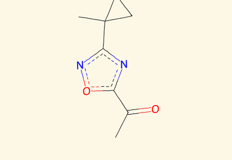 CC(=O)c1nc(C2(C)CC2)no1